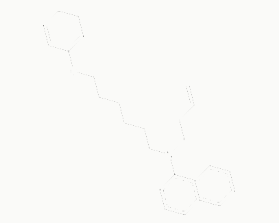 C=CCCN(CCCCCCOC1=CC[CH]C=C1)c1cccc2ccccc12